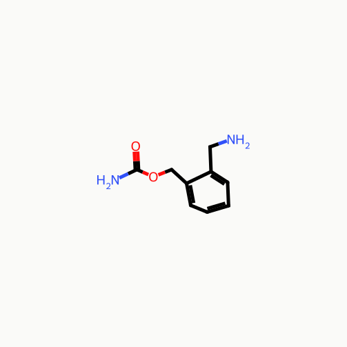 NCc1ccccc1COC(N)=O